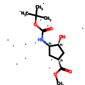 COC(=O)[C@H]1C[C@@H](O)[C@H](NC(=O)OC(C)(C)C)C1